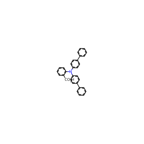 O=C(O)c1ccccc1N(c1ccc(-c2ccccc2)cc1)c1ccc(-c2ccccc2)cc1